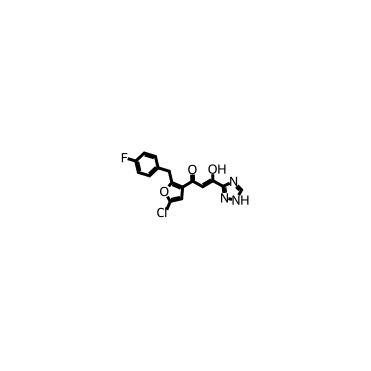 O=C(C=C(O)c1nc[nH]n1)c1cc(Cl)oc1Cc1ccc(F)cc1